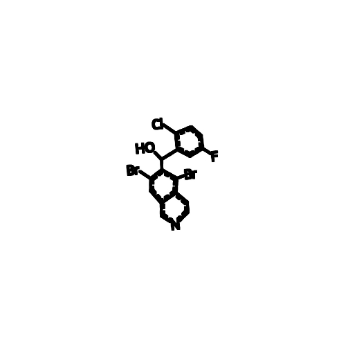 OC(c1cc(F)ccc1Cl)c1c(Br)cc2cnccc2c1Br